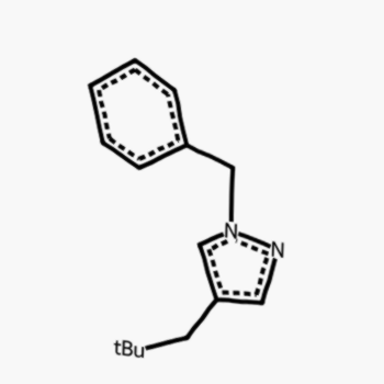 CC(C)(C)Cc1cnn(Cc2ccccc2)c1